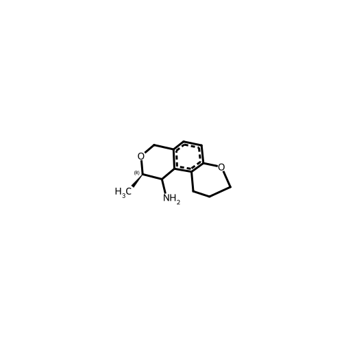 C[C@H]1OCc2ccc3c(c2C1N)CCCO3